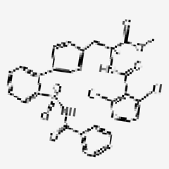 COC(=O)[C@H](Cc1ccc(-c2ccccc2S(=O)(=O)NC(=O)c2ccccc2)cc1)NC(=O)c1c(Cl)cccc1Cl